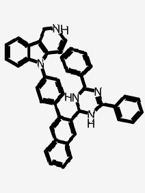 C1=Cc2c(c3ccccc3n2-c2ccc(-c3cc4ccccc4cc3C3NC(c4ccccc4)=NC(c4ccccc4)N3)cc2)CN1